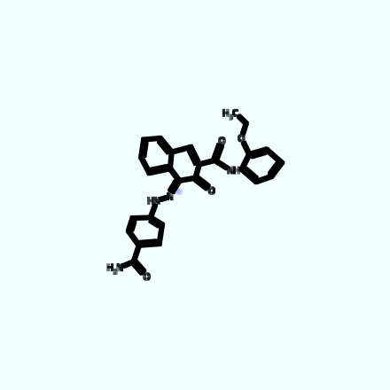 CCOc1ccccc1NC(=O)C1=Cc2ccccc2/C(=N\Nc2ccc(C(N)=O)cc2)C1=O